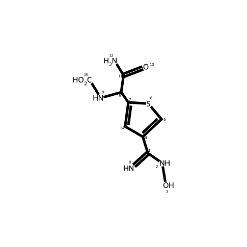 N=C(NO)c1csc(C(NC(=O)O)C(N)=O)c1